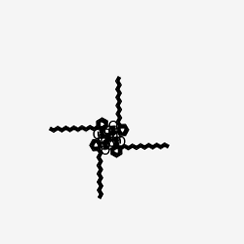 CCCCCCCCCCCCc1ccccc1S(=O)(=O)[O][Ti]([O]S(=O)(=O)c1ccccc1CCCCCCCCCCCC)([O]S(=O)(=O)c1ccccc1CCCCCCCCCCCC)[O]S(=O)(=O)c1ccccc1CCCCCCCCCCCC